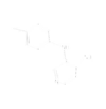 Cc1ccc(Nc2cnccc2N)cc1